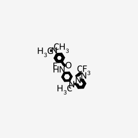 CN(C)c1ccc(C(=O)N[C@H]2CC[C@@H](N(C)c3cccc4nc(C(F)(F)F)cn34)CC2)c(F)c1